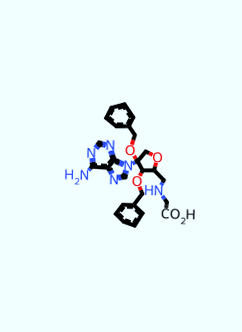 Nc1ncnc2c1ncn2C1(OCc2ccccc2)COC(CNCC(=O)O)C1OCc1ccccc1